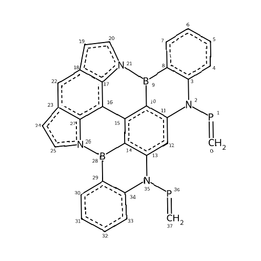 C=PN1c2ccccc2B2c3c1cc1c4c3-c3c5c(ccn52)cc2ccn(c32)B4c2ccccc2N1P=C